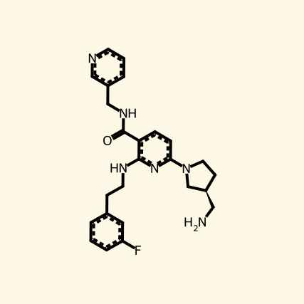 NC[C@@H]1CCN(c2ccc(C(=O)NCc3cccnc3)c(NCCc3cccc(F)c3)n2)C1